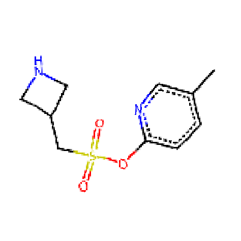 Cc1ccc(OS(=O)(=O)CC2CNC2)nc1